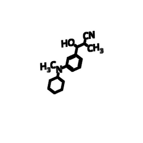 CC(C#N)C(O)c1cccc(N(C)C2CCCCC2)c1